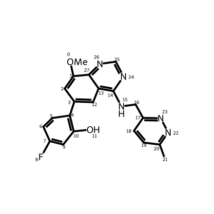 COc1cc(-c2ccc(F)cc2O)cc2c(NCc3ccc(C)nn3)ncnc12